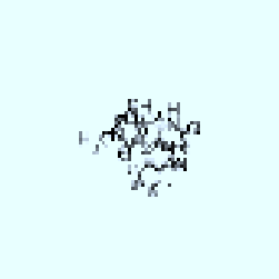 COc1cc2[nH]c(=O)c3cnc(-c4ccccc4)n3c2cc1C(=O)N(C)C